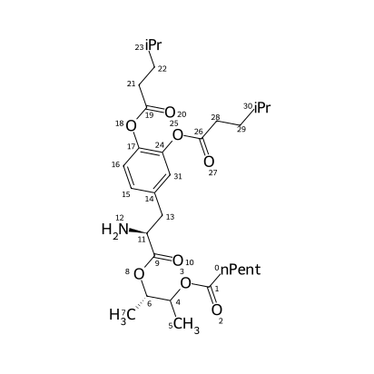 CCCCCC(=O)OC(C)[C@H](C)OC(=O)[C@@H](N)Cc1ccc(OC(=O)CCC(C)C)c(OC(=O)CCC(C)C)c1